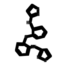 c1ccc(Oc2ccccc2Nc2ccsn2)c(Nc2ccsn2)c1